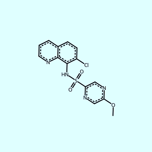 COc1cnc(S(=O)(=O)Nc2c(Cl)ccc3cccnc23)cn1